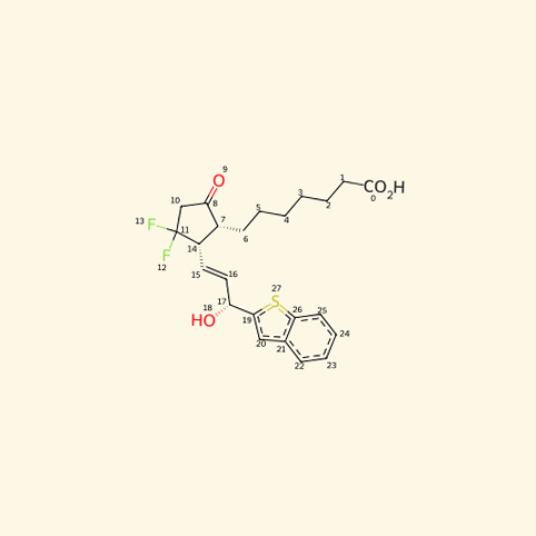 O=C(O)CCCCCC[C@H]1C(=O)CC(F)(F)[C@H]1C=C[C@@H](O)c1cc2ccccc2s1